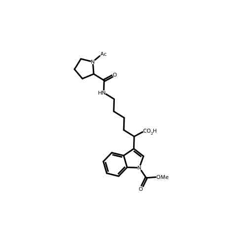 COC(=O)n1cc(C(CCCCNC(=O)C2CCCN2C(C)=O)C(=O)O)c2ccccc21